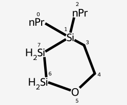 CCC[Si]1(CCC)CCO[SiH2][SiH2]1